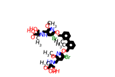 COc1nc(OCc2cccc(-c3cccc(COc4nc(OC)c(CN[C@](C)(CO)C(=O)O)cc4Br)c3C)c2C)c(Br)cc1CN[C@](C)(CO)C(=O)O